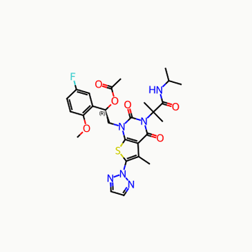 COc1ccc(F)cc1[C@H](Cn1c(=O)n(C(C)(C)C(=O)NC(C)C)c(=O)c2c(C)c(-n3nccn3)sc21)OC(C)=O